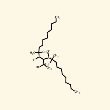 CCCCCCCCCC(C)(C)[S+]([O-])C(C(C)O)[S+]([O-])C(C)(C)CCCCCCCCC